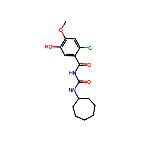 COc1cc(Cl)c(C(=O)NC(=O)NC2CCCCCC2)cc1O